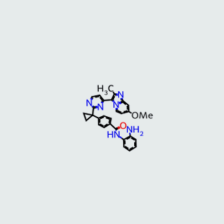 COc1ccn2c(-c3ccnc(C4(c5ccc(C(=O)Nc6ccccc6N)cc5)CC4)n3)c(C)nc2c1